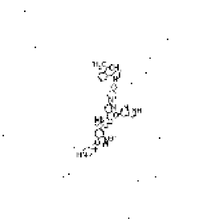 CC(C)c1ccccc1C1CCCN1C1CC2(CCN(c3ccc(C(=O)NS(=O)(=O)c4ccc(OCC5(F)CCNCC5)c([N+](=O)[O-])c4)c(Oc4cnc5[nH]ccc5c4)n3)CC2)C1